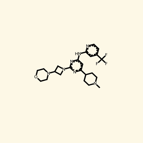 CN1CCC(c2cc(Nc3cc(C(F)(F)F)ccn3)nc(N3CC(N4CCOCC4)C3)n2)CC1